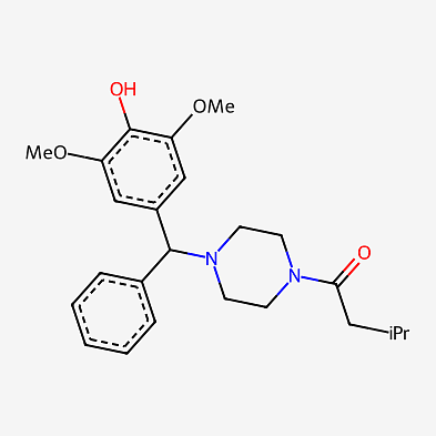 COc1cc(C(c2ccccc2)N2CCN(C(=O)CC(C)C)CC2)cc(OC)c1O